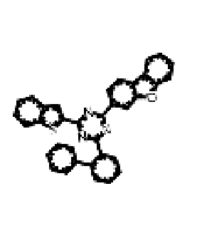 c1ccc(-c2ccccc2-c2nc(-c3ccc4c(c3)oc3ccccc34)nc(-c3cc4ccccc4s3)n2)cc1